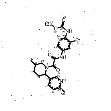 CCc1cc(NC(=O)C(=O)N2CC(C)CCC2c2ccc(C)nc2)cnc1NC(=O)OC(C)(C)C